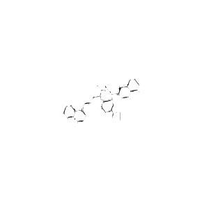 CC(NCc1ccc2ccccc2c1)C(CC=Cc1cccc2ccccc12)c1ccc(Cl)cc1